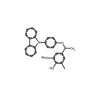 COc1cc(C(C)Oc2ccc([SH]3c4ccccc4-c4ccccc43)cc2)cc(I)c1O